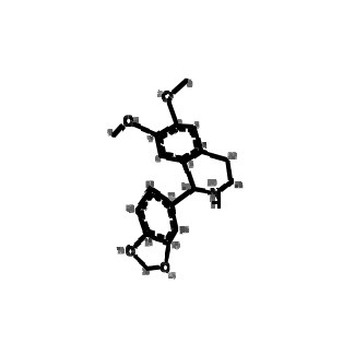 COc1cc2c(cc1OC)C(c1ccc3c(c1)OCO3)NCC2